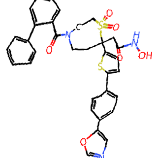 O=C(CC1(c2ccc(-c3ccc(-c4cnco4)cc3)s2)CCN(C(=O)c2ccccc2-c2ccccc2)CCS1(=O)=O)NO